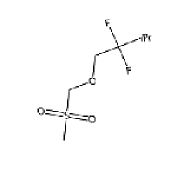 CC(C)C(F)(F)COCS(C)(=O)=O